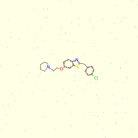 Clc1ccc(Cc2nc3ccc(OCCN4CCCCC4)cc3s2)cc1